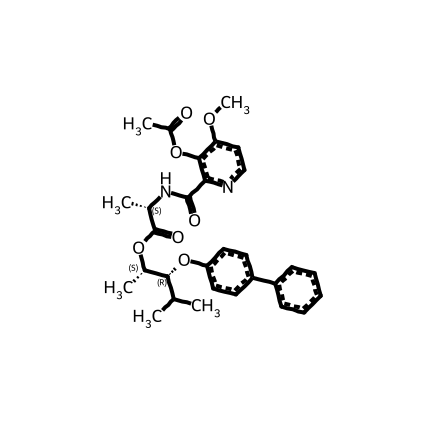 COc1ccnc(C(=O)N[C@@H](C)C(=O)O[C@@H](C)[C@H](Oc2ccc(-c3ccccc3)cc2)C(C)C)c1OC(C)=O